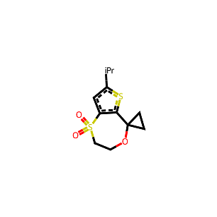 CC(C)c1cc2c(s1)C1(CC1)OCCS2(=O)=O